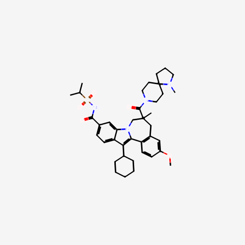 COc1ccc2c(c1)CC(C)(C(=O)N1CCC3(CCCN3C)CC1)Cn1c-2c(C2CCCCC2)c2ccc(C(=O)NS(=O)(=O)C(C)C)cc21